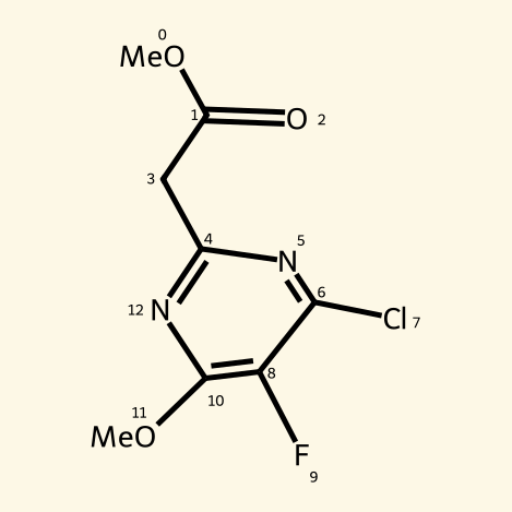 COC(=O)Cc1nc(Cl)c(F)c(OC)n1